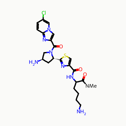 CNC(=O)C(CCCCN)NC(=O)c1csc([C@@H]2C[C@@H](N)CN2C(=O)c2cn3cc(Cl)ccc3n2)n1